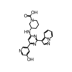 O=C(O)N1CCC[C@@H](Nc2cc(-c3cncc(O)c3)nc(-c3cnn4ccccc34)n2)C1